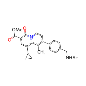 COC(=O)c1cc(C2CC2)c2c(C)c(-c3ccc(CNC(C)=O)cc3)ccn2c1=O